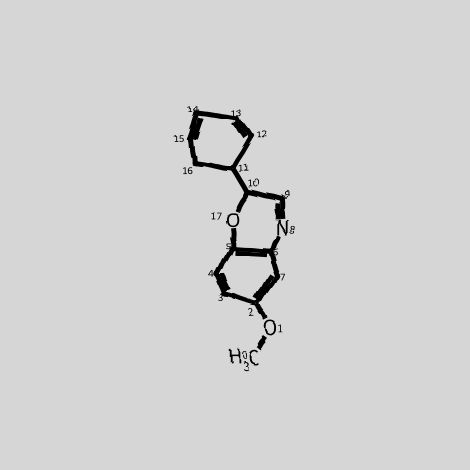 COc1ccc2c(c1)N=CC(C1C=CC=CC1)O2